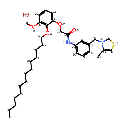 Br.CCCCCCCCCCCCCCOc1c(OC)cccc1OCC(=O)Nc1cccc(CN2CSC=C2C)c1